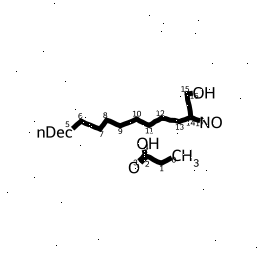 CCC(=O)O.CCCCCCCCCCCCCCCCCCC(CO)N=O